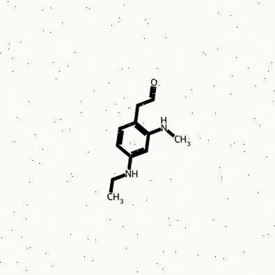 CCNc1ccc(CC=O)c(NC)c1